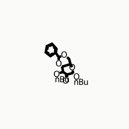 CCCCOC1OC2COC(c3ccccc3)OC2C(OCCCC)C1=O